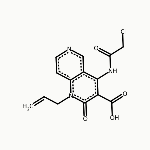 C=CCn1c(=O)c(C(=O)O)c(NC(=O)CCl)c2cnccc21